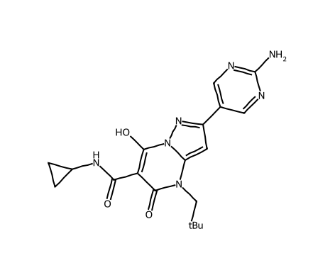 CC(C)(C)Cn1c(=O)c(C(=O)NC2CC2)c(O)n2nc(-c3cnc(N)nc3)cc12